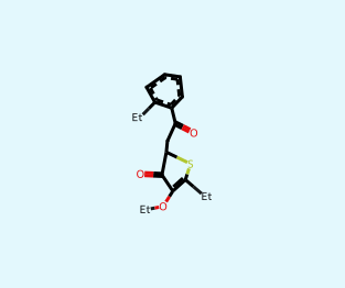 CCOC1=C(CC)SC(CC(=O)c2ccccc2CC)C1=O